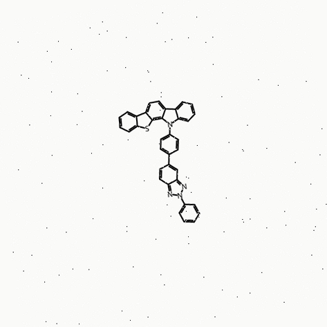 c1ccc(-n2nc3ccc(-c4ccc(-n5c6ccccc6c6ccc7c8ccccc8sc7c65)cc4)cc3n2)cc1